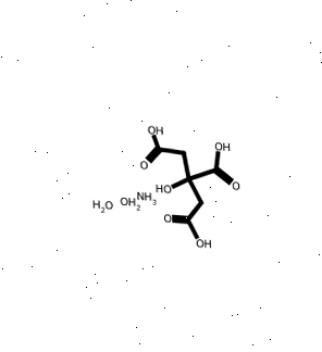 N.O.O.O=C(O)CC(O)(CC(=O)O)C(=O)O